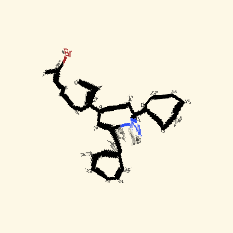 C\C=C(/C=C\C=C(/C)Br)c1cc(-c2ccccc2)nc(-c2ccccc2)c1